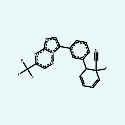 N#CC1(F)C=CC=CC1c1cccc(-c2cnc3nc(C(F)(F)F)cnn23)c1